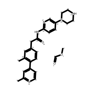 COC=O.Cc1cc(-c2ccc(CC(=O)Nc3ccc(N4CCNCC4)cn3)cc2C)ccn1